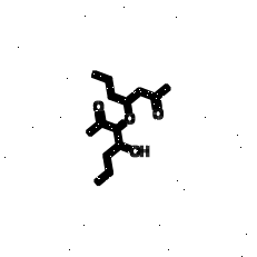 CCCC(CC(C)=O)OC(C(C)=O)C(O)CCC